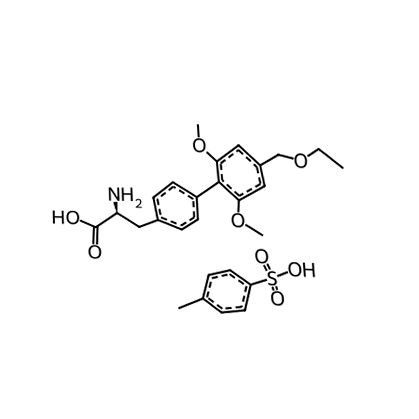 CCOCc1cc(OC)c(-c2ccc(C[C@H](N)C(=O)O)cc2)c(OC)c1.Cc1ccc(S(=O)(=O)O)cc1